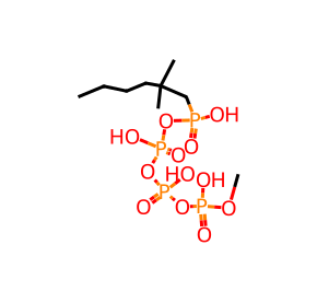 CCCCC(C)(C)CP(=O)(O)OP(=O)(O)OP(=O)(O)OP(=O)(O)OC